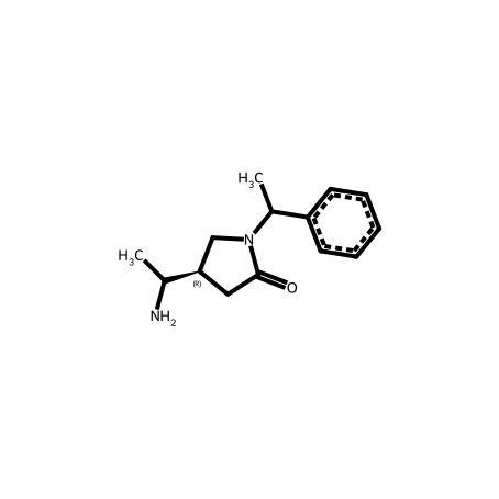 CC(N)[C@@H]1CC(=O)N(C(C)c2ccccc2)C1